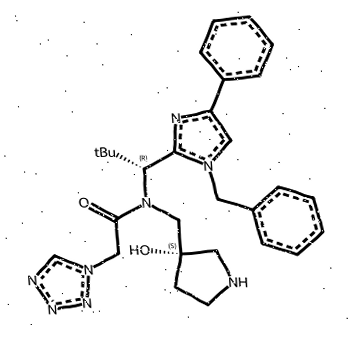 CC(C)(C)[C@H](c1nc(-c2ccccc2)cn1Cc1ccccc1)N(C[C@]1(O)CCNC1)C(=O)Cn1cnnn1